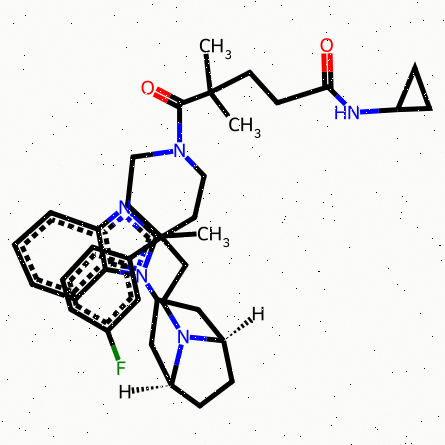 Cc1nc2ccccc2n1C1C[C@H]2CC[C@@H](C1)N2CCC1(c2cccc(F)c2)CCN(C(=O)C(C)(C)CCC(=O)NC2CC2)CC1